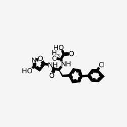 CC(N[C@@H](Cc1ccc(-c2cccc(Cl)c2)cc1)C(=O)Nc1cc(O)no1)C(=O)O